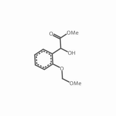 COCOc1ccccc1C(O)C(=O)OC